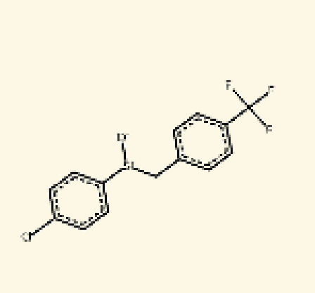 [O-][S+](Cc1ccc(C(F)(F)F)cc1)c1ccc(Cl)cc1